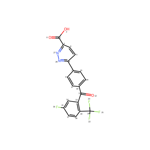 O=C(O)c1ccc(-c2ccc(C(=O)c3cc(F)ccc3C(F)(F)F)cc2)nn1